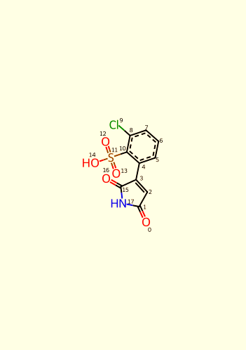 O=C1C=C(c2cccc(Cl)c2S(=O)(=O)O)C(=O)N1